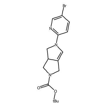 CC(C)(C)OC(=O)N1CC2=CN(c3ccc(Br)cn3)CC2C1